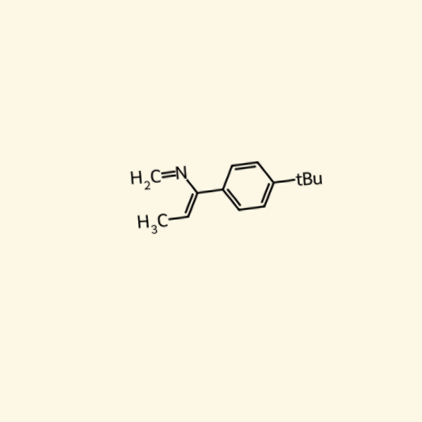 C=N/C(=C\C)c1ccc(C(C)(C)C)cc1